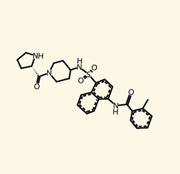 Cc1ccccc1C(=O)Nc1ccc(S(=O)(=O)NC2CCN(C(=O)[C@@H]3CCCN3)CC2)c2ccccc12